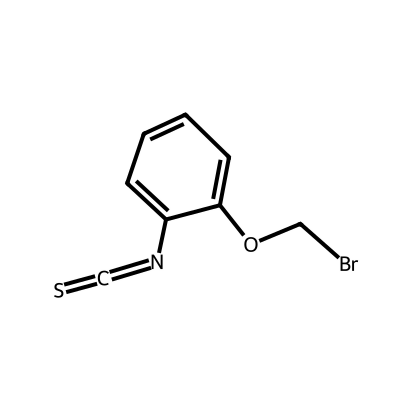 S=C=Nc1ccccc1OCBr